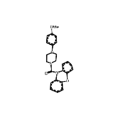 COc1ccc(N2CCN(C(=O)N3c4ccccc4Oc4ccccc43)CC2)cc1